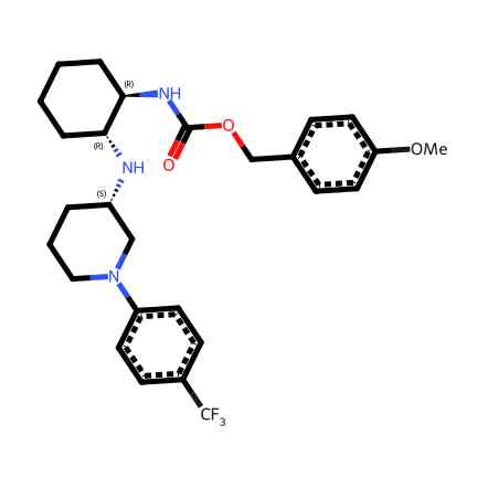 COc1ccc(COC(=O)N[C@@H]2CCCC[C@H]2N[C@H]2CCCN(c3ccc(C(F)(F)F)cc3)C2)cc1